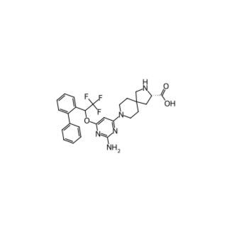 Nc1nc(OC(c2ccccc2-c2ccccc2)C(F)(F)F)cc(N2CCC3(CC2)CN[C@H](C(=O)O)C3)n1